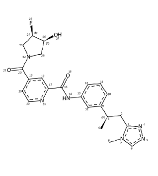 C[C@H](Cc1nncn1C)c1cccc(NC(=O)c2cc(C(=O)N3C[C@@H](F)[C@@H](O)C3)ccn2)c1